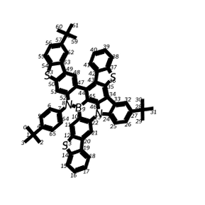 CC(C)(C)c1ccc(N2B3c4cc5sc6ccccc6c5cc4-n4c5ccc(C(C)(C)C)cc5c5c6sc7ccccc7c6c(c3c54)-c3cc4c(cc32)sc2ccc(C(C)(C)C)cc24)cc1